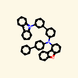 c1ccc(-c2ccc(N(c3cccc(-c4cccc(-n5c6ccccc6c6ccccc65)c4)c3)c3cccc4oc5ccccc5c34)cc2)cc1